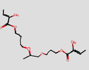 CC=C(O)C(=O)OCCCOCC(C)OCCCOC(=O)C(O)=CC